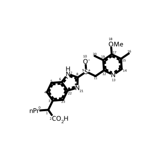 CCCC(C(=O)O)c1ccc2[nH]c([S+]([O-])Cc3ncc(C)c(OC)c3C)nc2c1